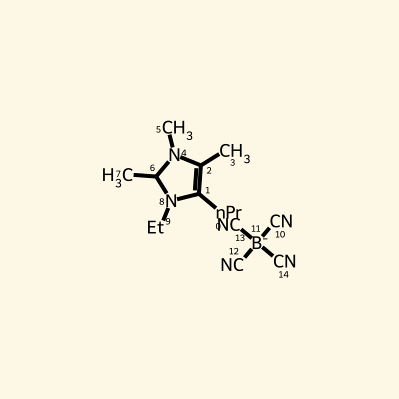 CCCC1=C(C)N(C)C(C)N1CC.N#C[B-](C#N)(C#N)C#N